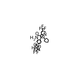 NC(=O)c1c(-c2ccc(S(=O)(=O)NC3(C(F)(F)F)CC3)cc2)n(C2CCCCC2)c2ncc(C(F)(F)F)cc12